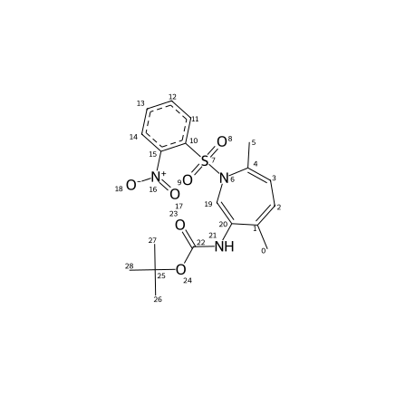 CC1=CC=C(C)N(S(=O)(=O)c2ccccc2[N+](=O)[O-])C=C1NC(=O)OC(C)(C)C